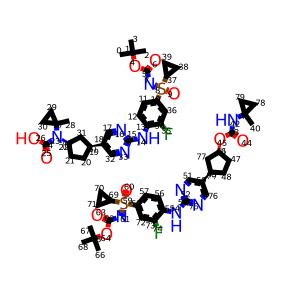 CC(C)(C)OC(=O)N=S(=O)(c1ccc(Nc2ncc([C@H]3CC[C@@H](N(C(=O)O)C4(C)CC4)C3)cn2)c(F)c1)C1CC1.CC1(NC(=O)O[C@H]2CC[C@@H](c3cnc(Nc4ccc(S(=O)(=NC(=O)OC(C)(C)C)C5CC5)cc4F)nc3)C2)CC1